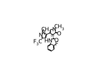 CN1CC(c2cc(C(F)(F)F)nn2C)[C@@H](C(=O)Nc2ccccc2F)C1=O